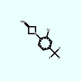 [2H]c1cc(C(F)(F)F)ccc1N1CC(=N)C1